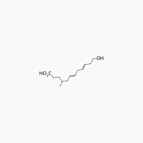 CC(C/C=C/C/C=C/CCO)CCC(=O)O